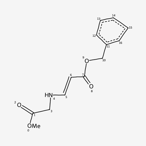 COC(=O)CNC=CC(=O)OCc1ccccc1